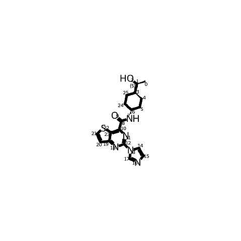 C[C@H](O)[C@H]1CC[C@H](NC(=O)c2nc(-n3ccnc3)nc3ccsc23)CC1